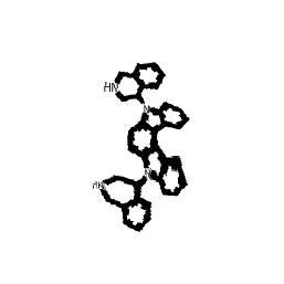 c1ccc2c(c1)CNCC2n1c2ccccc2c2c3c4ccccc4n(C4CNCc5ccccc54)c3ccc21